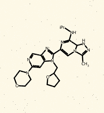 CC1=NNC2C(NC(C)C)=NC(c3nc4cnc(N5CCOCC5)cc4n3CC3CCCO3)=CN12